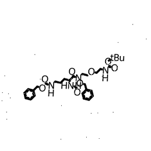 CC(C)(C)OC(=O)NCCOCCNC(=O)C(CCCNC(=O)OCc1ccccc1)NC(=O)OCc1ccccc1